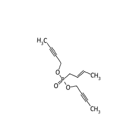 CC#CCOP(=O)(CC=CC)OCC#CC